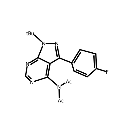 CC(=O)N(C(C)=O)c1ncnc2c1c(-c1ccc(F)cc1)nn2C(C)(C)C